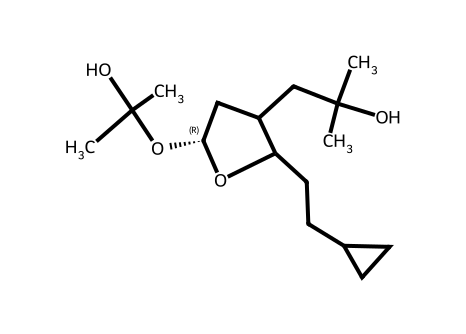 CC(C)(O)CC1C[C@@H](OC(C)(C)O)OC1CCC1CC1